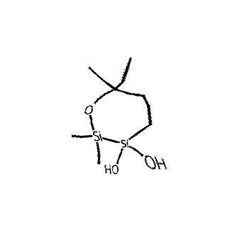 CC1(C)CC[Si](O)(O)[Si](C)(C)O1